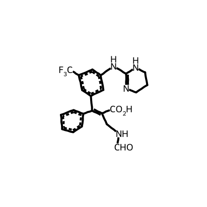 O=CNCC(C(=O)O)=C(c1ccccc1)c1cc(NC2=NCCCN2)cc(C(F)(F)F)c1